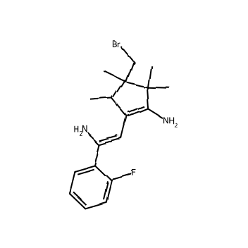 CC1C(/C=C(\N)c2ccccc2F)=C(N)C(C)(C)C1(C)CBr